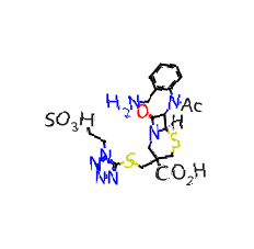 CC(=O)N(c1ccccc1CN)C1C(=O)N2CC(CSc3nnnn3CCS(=O)(=O)O)(C(=O)O)CS[C@H]12